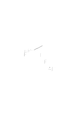 CCCC.[Al+3].[F-].[F-].[F-]